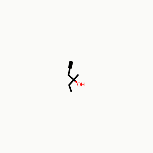 C#CCC(C)(O)CC